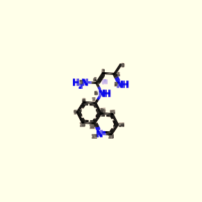 CC(=N)/C=C(/N)Nc1cccc2ncccc12